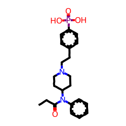 CCC(=O)N(c1ccccc1)C1CCN(CCc2ccc(P(=O)(O)O)cc2)CC1